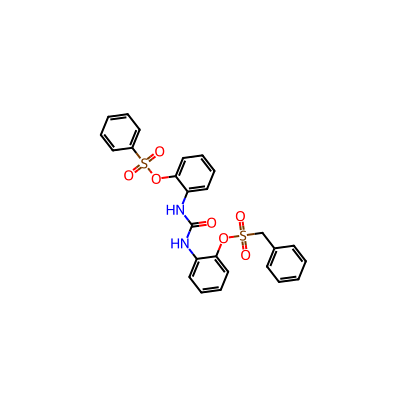 O=C(Nc1ccccc1OS(=O)(=O)Cc1ccccc1)Nc1ccccc1OS(=O)(=O)c1ccccc1